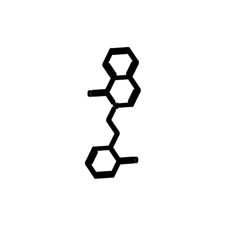 O=C1C=CC=CC1CCn1ccc2ccccc2c1=O